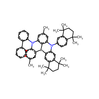 Cc1ccc2c(c1)B1c3cc4c(cc3N(c3ccc5c(c3)C(C)(C)CCC5(C)C)c3cc(C)cc(c31)N2c1ccccc1-c1ccccc1)C(C)(C)CCC4(C)C